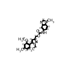 CCn1nc(COC(=O)Nc2ccc3c(c2)ncn3C)cc1-c1ccc(C)cc1OC